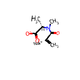 C=CC(=O)N(C)[C@@H](C)C(=O)[O-].[Na+]